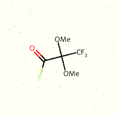 COC(OC)(C(=O)F)C(F)(F)F